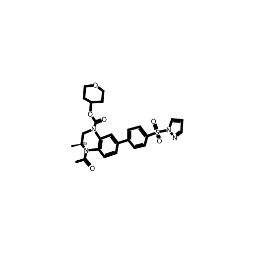 CC(=O)N1c2ccc(-c3ccc(S(=O)(=O)n4cccn4)cc3)cc2N(C(=O)OC2CCOCC2)C[C@@H]1C